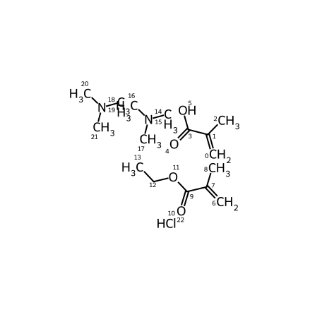 C=C(C)C(=O)O.C=C(C)C(=O)OCC.CN(C)C.CN(C)C.Cl